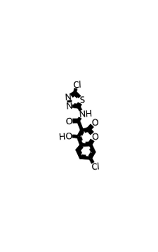 O=C(Nc1nnc(Cl)s1)c1c(O)c2ccc(Cl)cc2oc1=O